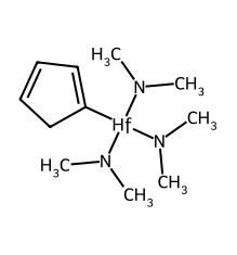 C[N](C)[Hf]([C]1=CC=CC1)([N](C)C)[N](C)C